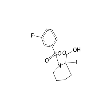 O=C(O)C1(I)CCCCN1S(=O)(=O)c1cccc(F)c1